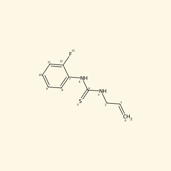 C=CCNC(=S)Nc1ccccc1F